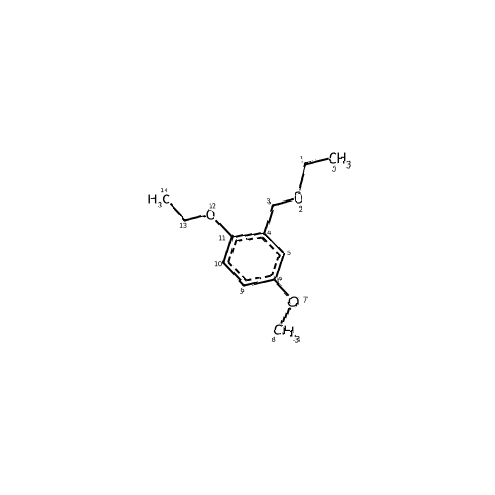 CCOCc1cc(OC)ccc1OCC